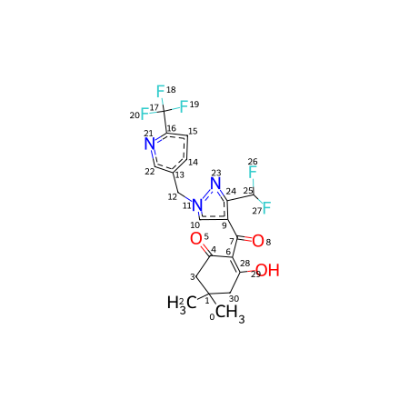 CC1(C)CC(=O)C(C(=O)c2cn(Cc3ccc(C(F)(F)F)nc3)nc2C(F)F)=C(O)C1